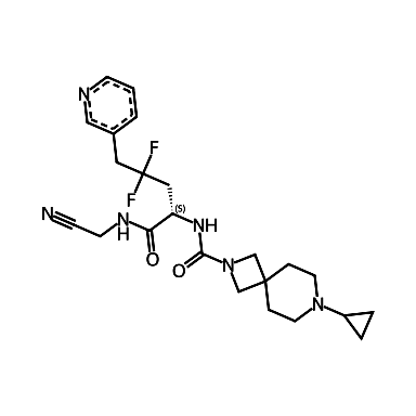 N#CCNC(=O)[C@H](CC(F)(F)Cc1cccnc1)NC(=O)N1CC2(CCN(C3CC3)CC2)C1